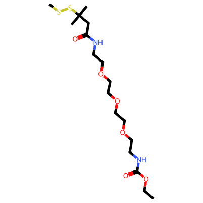 CCOC(=O)NCCOCCOCCOCCNC(=O)CC(C)(C)SSC